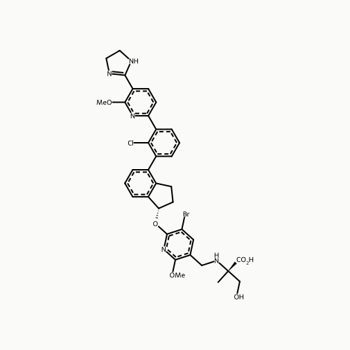 COc1nc(O[C@H]2CCc3c(-c4cccc(-c5ccc(C6=NCCN6)c(OC)n5)c4Cl)cccc32)c(Br)cc1CN[C@@](C)(CO)C(=O)O